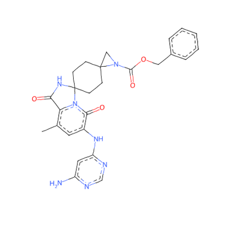 Cc1cc(Nc2cc(N)ncn2)c(=O)n2c1C(=O)NC21CCC2(CC1)CN2C(=O)OCc1ccccc1